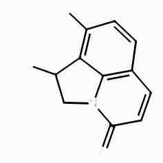 CC1Cn2c(=O)ccc3ccc(F)c1c32